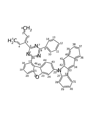 C=C/C=C(\C=C)c1nc(-c2ccccc2)nc(-c2cccc3oc4cc(-n5c6ccccc6c6cc7ccccc7cc65)ccc4c23)n1